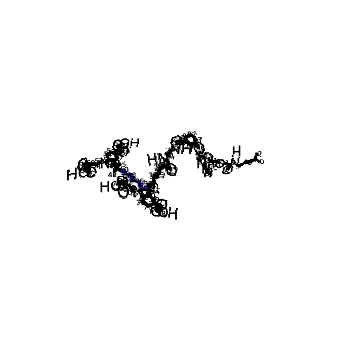 CC(C)C#CCNC(=O)COCCOC(COC1C=C(C(=O)NCCNC(=O)CCCCCC2(C)/C(=C/C=C/C=C/C(I)C(C)(C)c3cc(S(=O)(=O)O)ccc3NCCCS(=O)(=O)O)N(CCS(=O)(=O)O)c3ccc(S(=O)(=O)O)cc32)CCC1)N=[N+]=[N-]